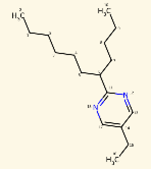 CCCCCCC(CCCC)c1ncc(CC)cn1